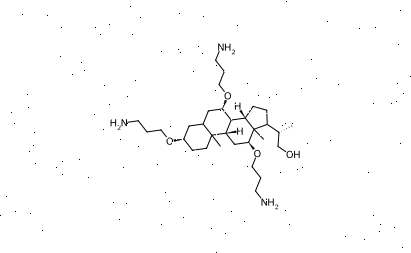 C[C@H](CO)C1CC[C@H]2C3[C@H](OCCCN)CC4C[C@H](OCCCN)CCC4(C)[C@H]3C[C@H](OCCCN)C12C